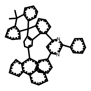 CC1(C)c2ccccc2C2(C3=C(C=C(c4cc5ccccc5c5ccccc45)CC3)c3c(-c4cc(-c5ccccc5)nc(-c5ccccc5)n4)cccc32)c2ccccc21